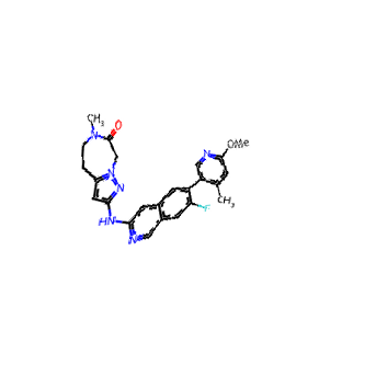 COc1cc(C)c(-c2cc3cc(Nc4cc5n(n4)CC(=O)N(C)CC5)ncc3cc2F)cn1